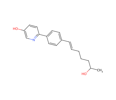 CC(O)CCCC=Cc1ccc(-c2ccc(O)cn2)cc1